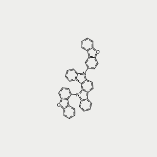 c1ccc2c(c1)oc1ccc(-n3c4ccccc4c4c3ccc3c5ccccc5n(-c5cccc6oc7ccccc7c56)c34)cc12